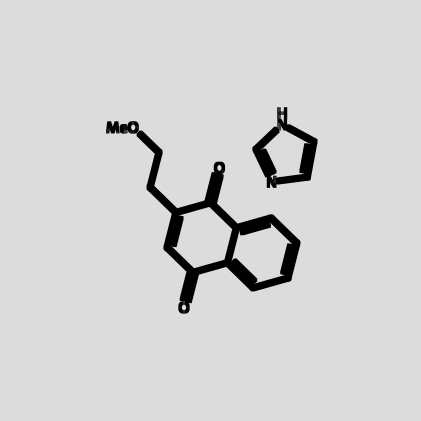 COCCC1=CC(=O)c2ccccc2C1=O.c1c[nH]cn1